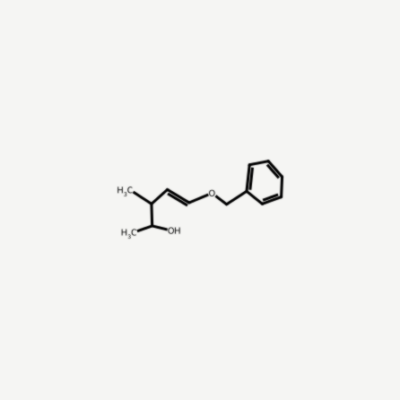 CC(O)C(C)C=COCc1ccccc1